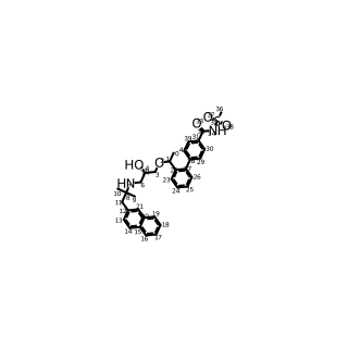 CC(OC[C@H](O)CNC(C)(C)Cc1ccc2ccccc2c1)c1ccccc1-c1ccc(C(=O)NS(C)(=O)=O)cc1